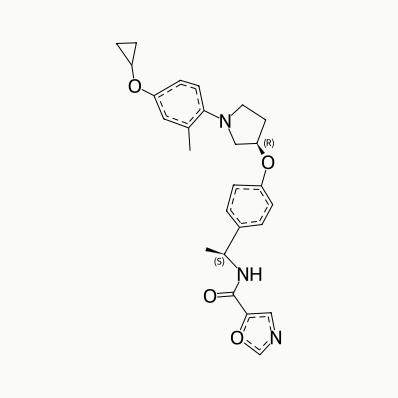 Cc1cc(OC2CC2)ccc1N1CC[C@@H](Oc2ccc([C@H](C)NC(=O)c3cnco3)cc2)C1